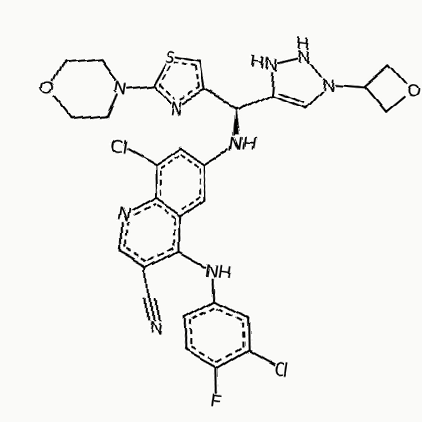 N#Cc1cnc2c(Cl)cc(N[C@H](C3=CN(C4COC4)NN3)c3csc(N4CCOCC4)n3)cc2c1Nc1ccc(F)c(Cl)c1